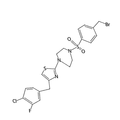 O=S(=O)(c1ccc(CBr)cc1)N1CCN(c2nc(Cc3ccc(Cl)c(F)c3)cs2)CC1